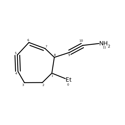 CCC1CCC#C/C=C\C1C#CN